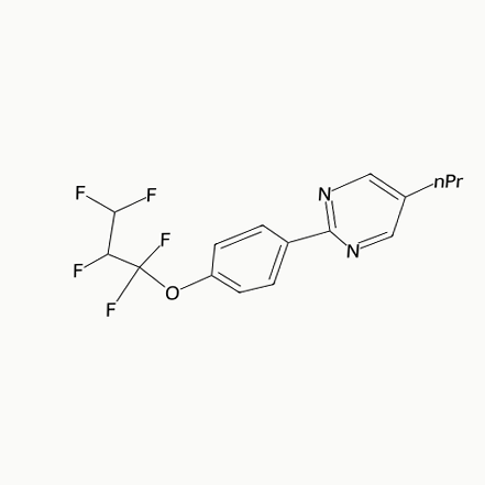 CCCc1cnc(-c2ccc(OC(F)(F)C(F)C(F)F)cc2)nc1